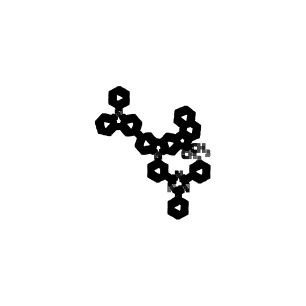 CC1(C)c2cc3c(cc2-c2c1ccc1ccccc21)c1cc(-c2ccc4c(c2)c2ccccc2n4-c2ccccc2)ccc1n3-c1cccc(-c2nc(-c3ccccc3)nc(-c3ccccc3)n2)c1